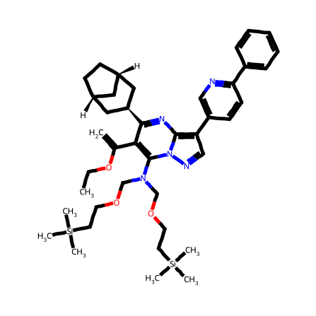 C=C(OCC)c1c([C@H]2C[C@@H]3CC[C@@H](C3)C2)nc2c(-c3ccc(-c4ccccc4)nc3)cnn2c1N(COCC[Si](C)(C)C)COCC[Si](C)(C)C